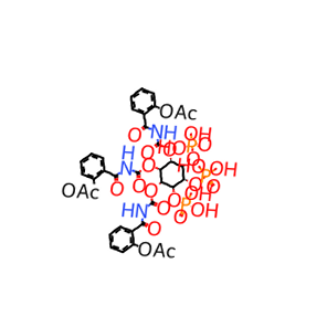 CC(=O)Oc1ccccc1C(=O)NC(=O)O[C@@H]1[C@@H](OC(=O)NC(=O)c2ccccc2OC(C)=O)[C@H](OP(=O)(O)O)[C@@H](OP(=O)(O)O)[C@@H](OP(=O)(O)O)[C@H]1OC(=O)NC(=O)c1ccccc1OC(C)=O